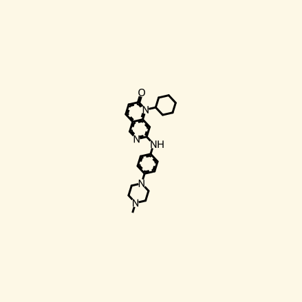 CN1CCN(c2ccc(Nc3cc4c(ccc(=O)n4C4CCCCC4)cn3)cc2)CC1